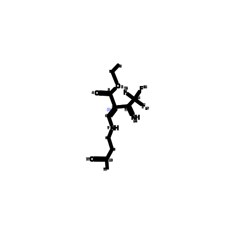 CCOC(=O)/C(=C/NCCC(C)=O)C(=N)C(F)(F)F